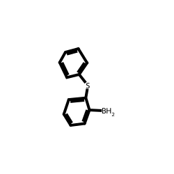 Bc1ccccc1Sc1ccccc1